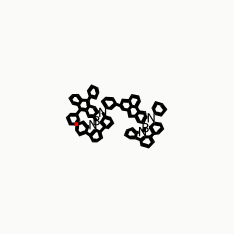 C1=CC2=CC(c3cccc(N4c5cc6c(-c7ccccc7)c7ccccc7c(-c7ccccc7)c6cc5B5c6c(cccc64)-c4cccc6c7ccccc7n5c46)c3)=CC3=Cc4cc5c(cc4C(=C1)C23)N(c1ccccc1)c1cccc2c1B5n1c3ccccc3c3cccc-2c31